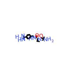 CC(C)(N)C(=O)N1CC[C@H]1C(=O)NCc1ccc(C(=N)N)cc1